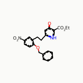 CCOC(=O)c1c[nH]c(CCc2cc([N+](=O)[O-])ccc2OCc2ccccc2)cc1=O